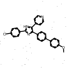 COc1ccc(-c2ccc(-c3nc(-c4ccc(Cl)cc4)[nH]c3-c3ccncc3)cc2)cc1